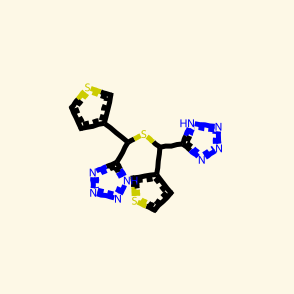 c1cc(C(SC(c2ccsc2)c2nnn[nH]2)c2nnn[nH]2)cs1